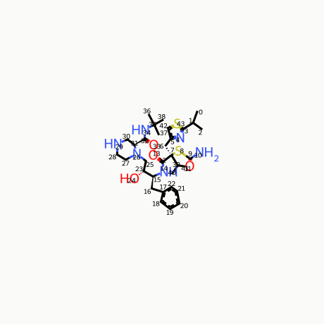 CC(C)c1nc(C[C@@](SC(N)=O)(C(=O)N[C@@H](Cc2ccccc2)[C@H](O)CN2CCNC[C@H]2C(=O)NC(C)(C)C)C(C)C)cs1